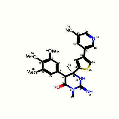 COc1cc(C2C(=O)N(C)C(=N)N[C@]2(C)c2cc(-c3cncc(C#N)c3)cs2)cc(OC)c1OC